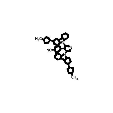 Cc1ccc(-c2ccc3c(c2)c2ccccc2n3-c2cncc(-n3c4ccccc4c4cc(-c5ccc(C)cc5)ccc43)c2-c2ccc(C#N)cc2)cc1